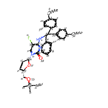 COc1ccc(C(Nc2nc(=O)n([C@H]3C=C[C@@H](CO[Si](C)(C)C(C)(C)C)O3)cc2F)(c2ccccc2)c2ccc(OC)cc2)cc1